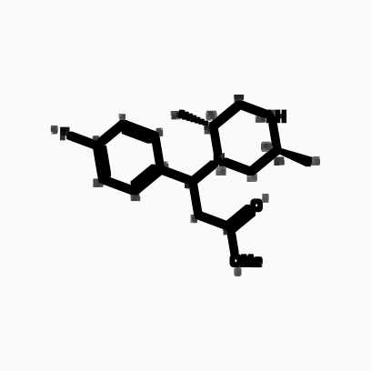 COC(=O)CC(c1ccc(F)cc1)N1C[C@H](C)NC[C@H]1C